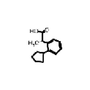 C[C@H](C(=O)O)c1ccccc1C1CCCC1